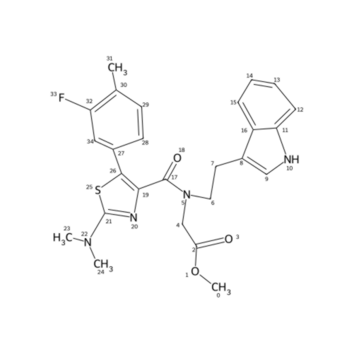 COC(=O)CN(CCc1c[nH]c2ccccc12)C(=O)c1nc(N(C)C)sc1-c1ccc(C)c(F)c1